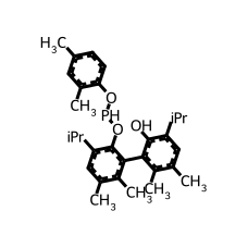 Cc1ccc(OPOc2c(C(C)C)cc(C)c(C)c2-c2c(C)c(C)cc(C(C)C)c2O)c(C)c1